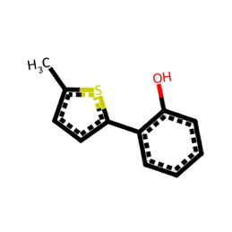 Cc1ccc(-c2ccccc2O)s1